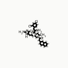 Cc1nc(N)[nH]c1CCC[C@H]1CN(C(=O)Cc2ccc3ccccc3c2)[C@H](C)CN1C(=O)C(N)Cc1ccc(Cl)cc1Cl